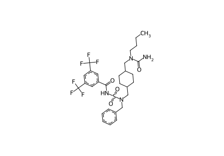 CCCCN(CC1CCC(CN(Cc2ccccc2)S(=O)(=O)NC(=O)c2cc(C(F)(F)F)cc(C(F)(F)F)c2)CC1)C(N)=O